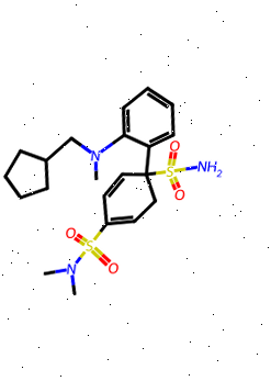 CN(CC1CCCC1)c1ccccc1C1(S(N)(=O)=O)C=CC(S(=O)(=O)N(C)C)=CC1